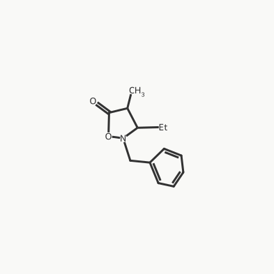 CCC1C(C)C(=O)ON1Cc1ccccc1